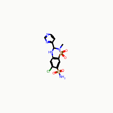 CN1C(c2ccncn2)Nc2cc(Cl)c(S(N)(=O)=O)cc2S1(=O)=O